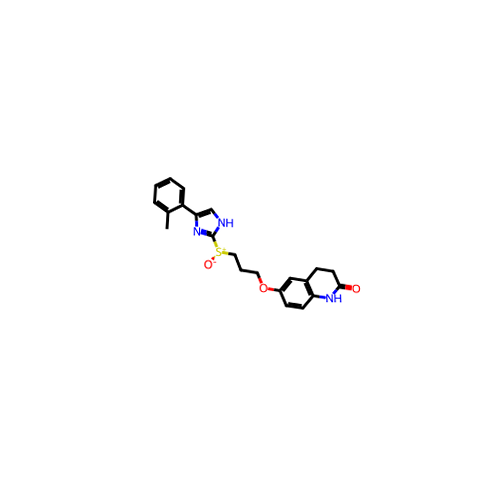 Cc1ccccc1-c1c[nH]c([S@+]([O-])CCCOc2ccc3c(c2)CCC(=O)N3)n1